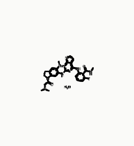 CNC(=O)c1c(F)cccc1Nc1nc(Nc2cc3c(cc2OC)CCN3C(=O)CN(C)C)[nH]c2nccc1-2.O